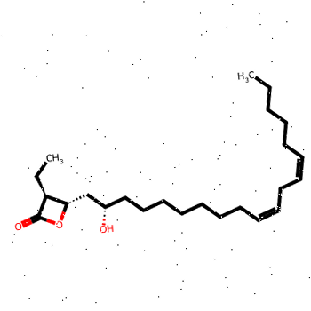 CCCCC/C=C\C/C=C\CCCCCCC[C@H](O)C[C@@H]1OC(=O)[C@H]1CC